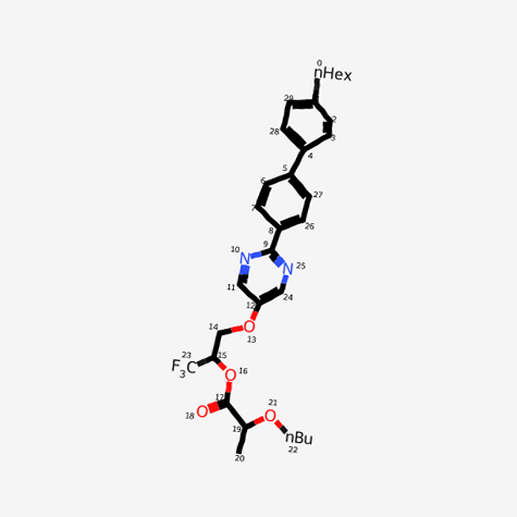 CCCCCCc1ccc(-c2ccc(-c3ncc(OCC(OC(=O)C(C)OCCCC)C(F)(F)F)cn3)cc2)cc1